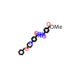 COC(=O)c1ccc(C(=O)NNC(=O)c2ccc(N3CCC(OCC4CCCCC4)CC3)cc2)cc1